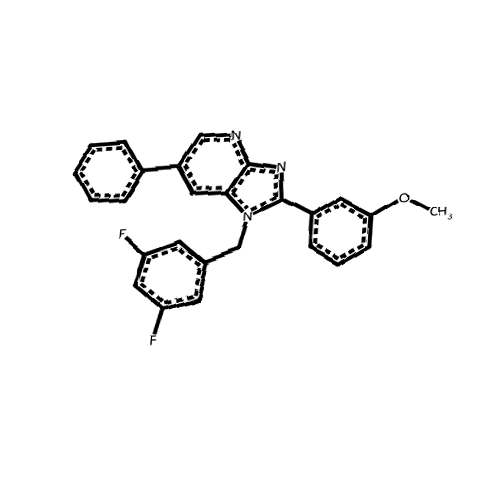 COc1cccc(-c2nc3ncc(-c4ccccc4)cc3n2Cc2cc(F)cc(F)c2)c1